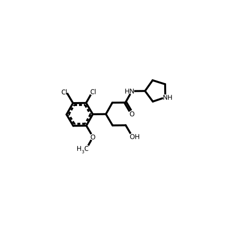 COc1ccc(Cl)c(Cl)c1C(CCO)CC(=O)NC1CCNC1